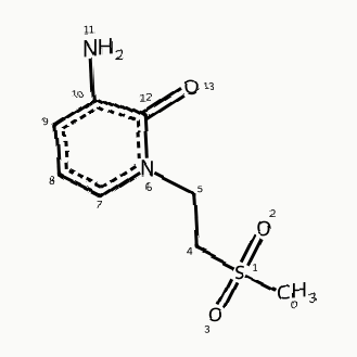 CS(=O)(=O)CCn1cccc(N)c1=O